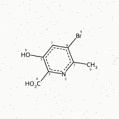 Cc1nc(C(=O)O)c(O)cc1Br